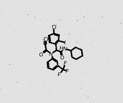 C#CC(=O)N(c1cccc(C(F)(F)F)c1)C(C(=O)NC1CCCCC1)c1ccc(Cl)cc1I